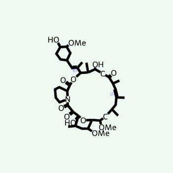 COC1CC(/C=C(\C)C2OC(=O)C3CCCCN3C(=O)C(=O)C3(O)OC(C(OC)CC(C)C/C(C)=C\C(C)C(=O)CC(O)C2C)C(OC)CC3C)CCC1O